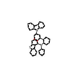 c1ccc(N(c2ccccc2-c2cccc(-n3c4ccccc4c4ccccc43)c2)c2cccc3sc4ccccc4c23)cc1